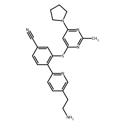 Cc1nc(Sc2cc(C#N)ccc2-c2ccc(CCN)cn2)cc(N2CCCC2)n1